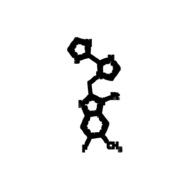 CCn1c(Cn2ccnc2-c2nccs2)nc2cc(F)c(C)cc21